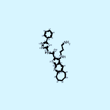 NCCCNc1c(C(=O)Nc2nnc(-c3ccccc3)s2)sc2nc3c(cc12)CCCCC3